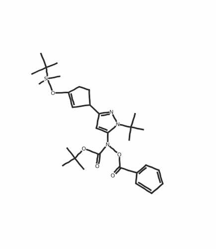 CC(C)(C)OC(=O)N(OC(=O)c1ccccc1)c1cc(C2C=C(O[Si](C)(C)C(C)(C)C)CC2)nn1C(C)(C)C